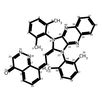 Cc1cccc(C)c1N1C(=C/C=c2/cccc3c2=NN=CC3=O)N(c2c(C)cccc2C)c2nc3ccccc3nc21